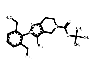 CCc1cccc(CC)c1-n1nc2c(c1N)CN(C(=O)OC(C)(C)C)CC2